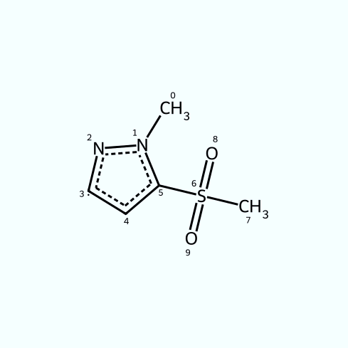 Cn1n[c]cc1S(C)(=O)=O